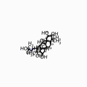 CC(C)(O)/C=C/C(=O)[C@](C)(O)[C@H]1[C@H](O)C[C@@]2(C)[C@@H]3CC=C4[C@@H](C[C@@H](O)[C@@H](O)C4(C)C)[C@]3(C)C(=O)C[C@]12C